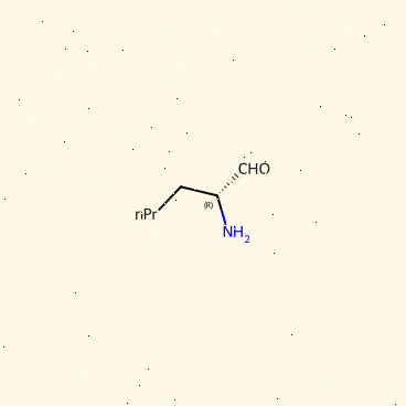 CCCC[C@@H](N)C=O